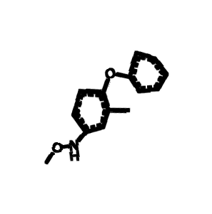 CONc1ccc(Oc2ccccc2)c(C)c1